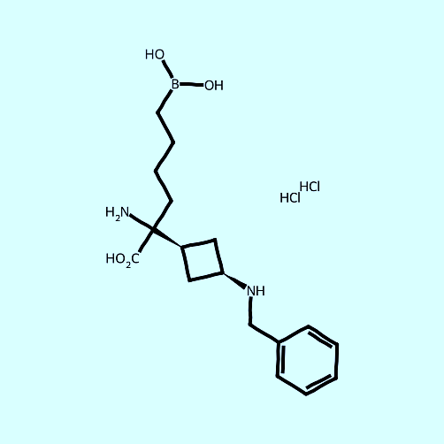 Cl.Cl.NC(CCCCB(O)O)(C(=O)O)[C@H]1C[C@@H](NCc2ccccc2)C1